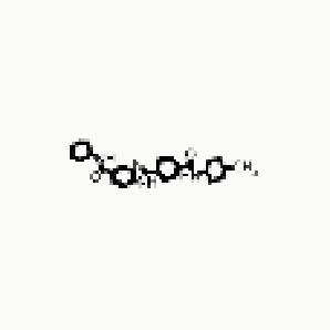 CC1CCC(NC(=O)c2ccc(-c3nc4cc(C(=O)NC5CCCCC5)ccc4[nH]3)cc2)CC1